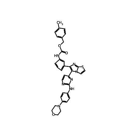 Cc1ccc(COC(=O)Nc2cccc(-c3nc4sccn4c3-c3ccnc(Nc4ccc(N5CCOCC5)cc4)n3)c2)cc1